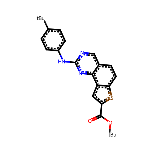 CC(C)(C)OC(=O)c1cc2c(ccc3cnc(Nc4ccc(C(C)(C)C)cc4)nc32)s1